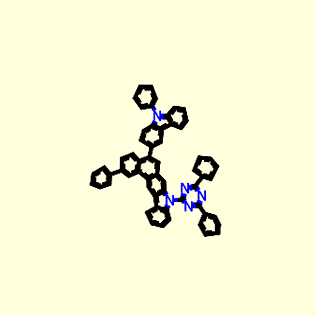 c1ccc(-c2ccc3c(-c4ccc5c(c4)c4ccccc4n5-c4ccccc4)cc4cc5c(cc4c3c2)c2ccccc2n5-c2nc(-c3ccccc3)nc(-c3ccccc3)n2)cc1